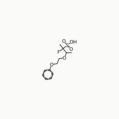 CC(OCCOc1ccccc1)C(C)(F)S(=O)(=O)O